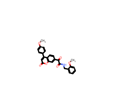 COc1ccc(-c2cc(=O)oc3cc(C(=O)C(=O)NCc4ccccc4OC)ccc23)cc1